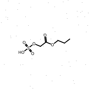 CCCOC(=O)COS(=O)(=O)O